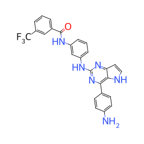 Nc1ccc(-c2nc(Nc3cccc(NC(=O)c4cccc(C(F)(F)F)c4)c3)nc3cc[nH]c23)cc1